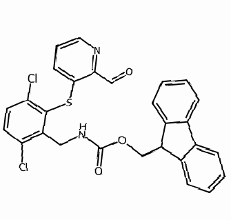 O=Cc1ncccc1Sc1c(Cl)ccc(Cl)c1CNC(=O)OCC1c2ccccc2-c2ccccc21